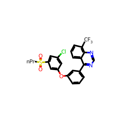 CCCS(=O)(=O)c1cc(Cl)cc(Oc2cccc(-c3ncnc4c(C(F)(F)F)cccc34)c2)c1